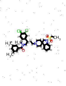 CCS(=O)(=O)N1CC2(CCN(CC[C@H](CN(C)C(=O)c3cc(C)cc(C)c3)c3ccc(Cl)c(Cl)c3)CC2)c2ccccc21